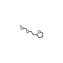 COCOCCC1CCCO1